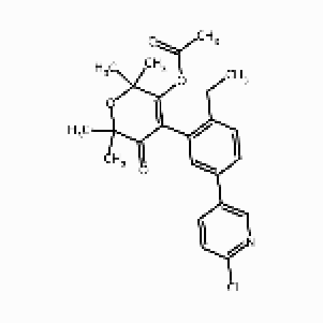 CCc1ccc(-c2ccc(Cl)nc2)cc1C1=C(OC(C)=O)C(C)(C)OC(C)(C)C1=O